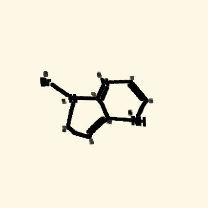 BrN1CC=C2NC=CN=C21